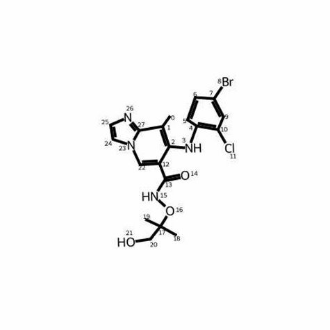 Cc1c(Nc2ccc(Br)cc2Cl)c(C(=O)NOC(C)(C)CO)cn2ccnc12